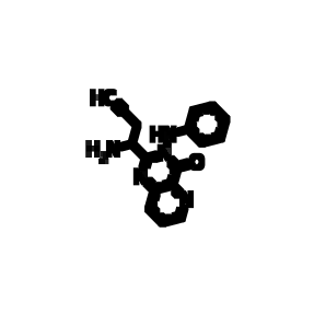 C#CCC(N)c1nc2cccnc2c(=O)n1Nc1ccccc1